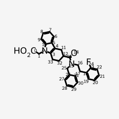 O=C(O)Cn1c2c(c3ccccc31)CC(C(=O)N(CCc1ccccc1F)Cc1ccccc1)CC2